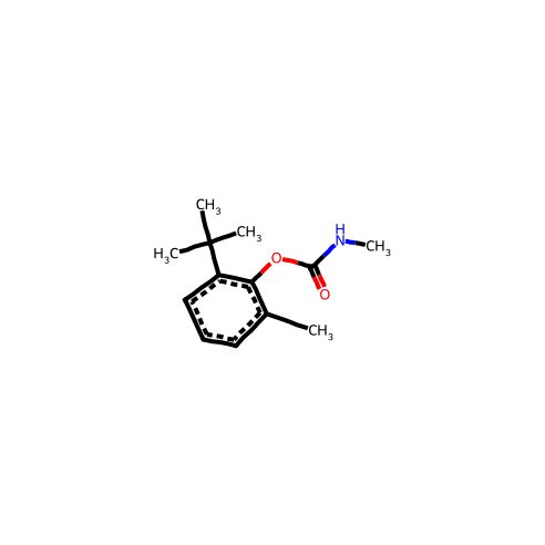 CNC(=O)Oc1c(C)cccc1C(C)(C)C